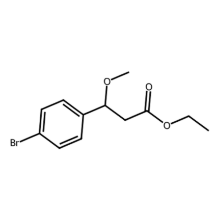 CCOC(=O)CC(OC)c1ccc(Br)cc1